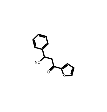 N#CC(CC(=O)c1cccs1)c1ccccc1